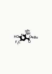 CCCCOC(=O)c1cc(C(F)(F)F)c(O)nc1NCCC